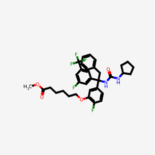 COC(=O)CCCCCOc1cc(C(Cc2ccccc2)(NC(=O)NC2CCCC2)c2cc(F)cc(C(F)(F)F)c2)ccc1F